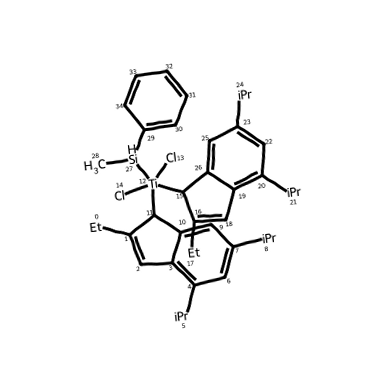 CCC1=Cc2c(C(C)C)cc(C(C)C)cc2[CH]1[Ti]([Cl])([Cl])([CH]1C(CC)=Cc2c(C(C)C)cc(C(C)C)cc21)[SiH](C)c1ccccc1